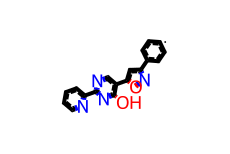 Oc1nc(-c2ccccn2)ncc1-c1cc(-c2cc[c]cc2)no1